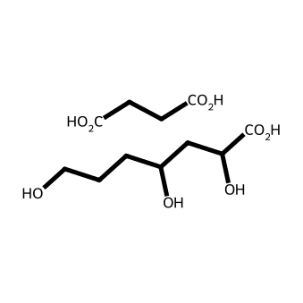 O=C(O)C(O)CC(O)CCCO.O=C(O)CCC(=O)O